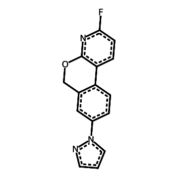 Fc1ccc2c(n1)OCc1cc(-n3cccn3)ccc1-2